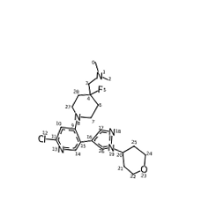 CN(C)CC1(F)CCN(c2cc(Cl)ncc2-c2cnn(C3CCOCC3)c2)CC1